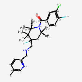 BC1(B)CC(F)(CNCc2ccc(C)cn2)C(B)(B)C(B)(B)N1C(=O)c1ccc(F)c(Cl)c1